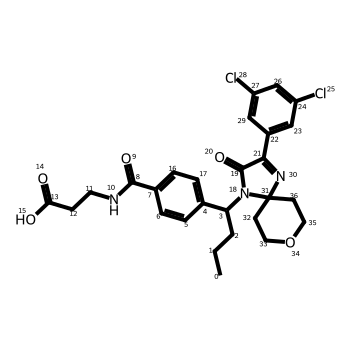 CCCC(c1ccc(C(=O)NCCC(=O)O)cc1)N1C(=O)C(c2cc(Cl)cc(Cl)c2)=NC12CCOCC2